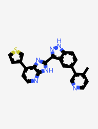 Cc1ccncc1-c1ccc2[nH]nc(-c3nc4c(-c5ccsc5)ccnc4[nH]3)c2c1